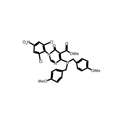 COC(=O)c1c(N(Cc2ccc(OC)cc2)Cc2ccc(OC)cc2)ncn(-c2c(Cl)cc([N+](=O)[O-])cc2Cl)c1=O